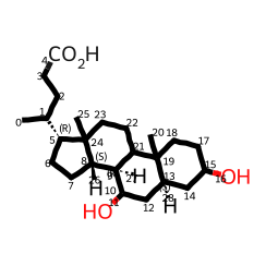 CC(CCC(=O)O)[C@H]1CC[C@H]2[C@@H]3C(O)C[C@@H]4CC(O)CCC4(C)C3CCC12C